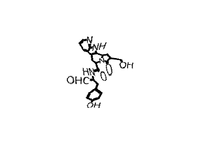 O=CC(Cc1ccc(O)cc1)NC(=O)C1Cc2c([nH]c3ncccc23)C2CC(CO)C(=O)N12